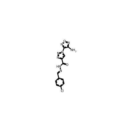 Nc1nonc1-n1cc(C(=O)NN=Cc2ccc(Cl)cc2)nn1